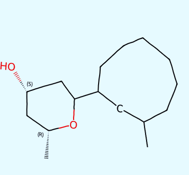 CC1CCCCCCC(C2C[C@@H](O)C[C@@H](C)O2)C1